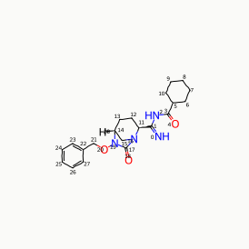 N=C(NC(=O)C1CCCCC1)[C@@H]1CC[C@@H]2CN1C(=O)N2OCc1ccccc1